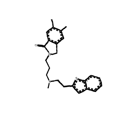 Cc1cc2c(cc1C)C(=O)N(CCCN(C)CCc1cc3ccccc3s1)C2